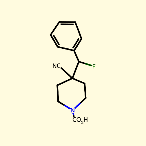 N#CC1(C(F)c2ccccc2)CCN(C(=O)O)CC1